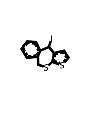 IC1c2ccccc2CSc2sccc21